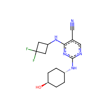 N#Cc1cnc(N[C@H]2CC[C@H](O)CC2)nc1NC1CC(F)(F)C1